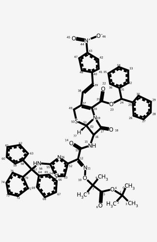 CC(C)(C)OC(=O)C(C)(C)ON=C(C(=O)NC1C(=O)N2C(C(=O)OC(c3ccccc3)c3ccccc3)=C(C=Cc3ccc([N+](=O)[O-])cc3)CS[C@@H]12)c1csc(NC(c2ccccc2)(c2ccccc2)c2ccccc2)n1